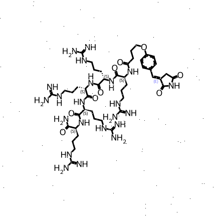 N=C(N)NCCC[C@H](NC(=O)[C@H](CCCNC(=N)N)NC(=O)[C@H](CCCNC(=N)N)NC(=O)[C@H](CCCNC(=N)N)NC(=O)[C@H](CCCNC(=N)N)NC(=O)CCCOc1ccc(/C=C2\CC(=O)NC2=O)cc1)C(N)=O